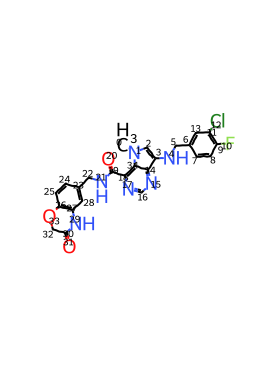 Cn1cc(NCc2ccc(F)c(Cl)c2)c2ncnc(C(=O)NCc3ccc4c(c3)NC(=O)CO4)c21